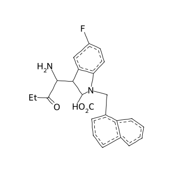 CCC(=O)C(N)C1c2cc(F)ccc2N(Cc2cccc3ccccc23)C1C(=O)O